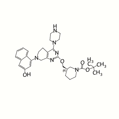 CC(C)(C)OC(=O)N1CCC[C@@H](COc2nc3c(c(N4CCNCC4)n2)CCN(c2cc(O)cc4ccccc24)C3)C1